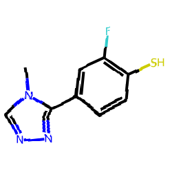 Cn1cnnc1-c1ccc(S)c(F)c1